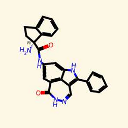 N[C@]1(C(=O)Nc2cc3c4c(c(-c5ccccc5)[nH]c4c2)C=NNC3=O)CCc2ccccc21